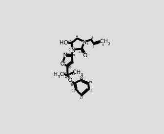 C=CCN1CC(O)N(c2cc(C(C)(C)Oc3ccccc3)on2)C1=O